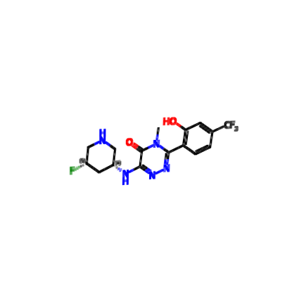 Cn1c(-c2ccc(C(F)(F)F)cc2O)nnc(N[C@H]2CNC[C@@H](F)C2)c1=O